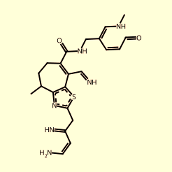 CN/C=C(\C=C/C=O)CNC(=O)C1=C(C=N)c2sc(CC(=N)/C=C\N)nc2C(C)CC1